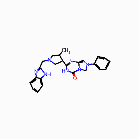 CC1CN(Cc2nc3ccccc3[nH]2)CC1C1=NC2=CN(c3ccccc3)CN2C(=O)N1